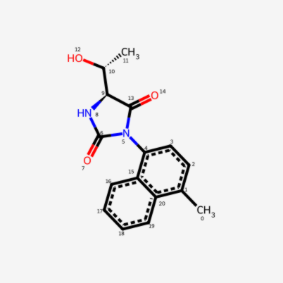 Cc1ccc(N2C(=O)N[C@@H]([C@@H](C)O)C2=O)c2ccccc12